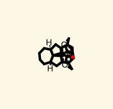 COc1ccc(C)c2c1C13c4c(OC)ccc(C)c4C[C@@H]1CCCC[C@H]3C2